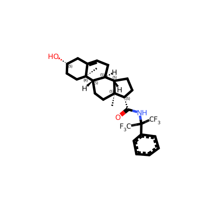 C[C@]12CC[C@H]3[C@@H](CC=C4C[C@@H](O)CC[C@@]43C)[C@@H]1CC[C@@H]2C(=O)NC(c1ccccc1)(C(F)(F)F)C(F)(F)F